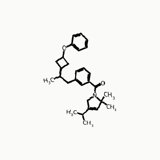 CC(C)C1=CC(C)(C)N(C(=O)c2cccc(CC(C)C3CC(Oc4ccccc4)C3)c2)C1